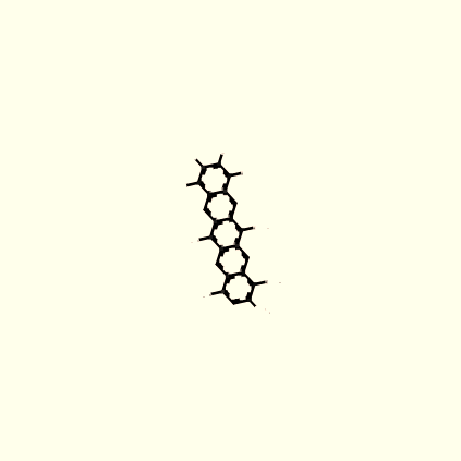 CCCCc1cc(C#N)c(CCCC)c2cc3c(CCCC)c4cc5c(CC)c(CC)c(CC)c(CC)c5cc4c(CCCC)c3cc12